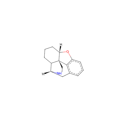 c1cc2c3c(c1)O[C@H]1CCCC4[C@@H](C2)NCC[C@@]341